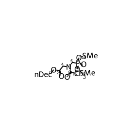 CCCCCCCCCCOC(=O)CN(CP(=O)(OSC)OSC)C(=O)C(F)(F)F